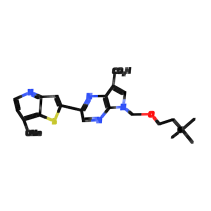 COc1ccnc2cc(-c3cnc4c(n3)c(C(=O)O)cn4COCC[Si](C)(C)C)sc12